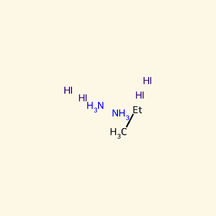 CCC.I.I.I.I.N.N